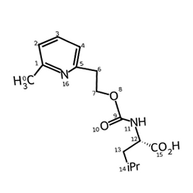 Cc1cccc(CCOC(=O)N[C@@H](CC(C)C)C(=O)O)n1